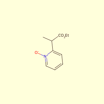 CCOC(=O)C(C)c1cccc[n+]1[O-]